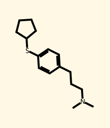 CN(C)CCCc1ccc(SC2CCCC2)cc1